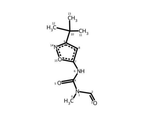 CN(C=O)C(=O)Nc1cc(C(C)(C)C)no1